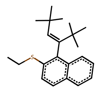 CCSc1ccc2ccccc2c1/C(=C/C(C)(C)C)C(C)(C)C